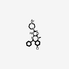 CC(=O)N1CCCN(C(=S)NC2N=C(c3ccccc3)c3cc(Cl)ccc3N(C)C2=O)CC1